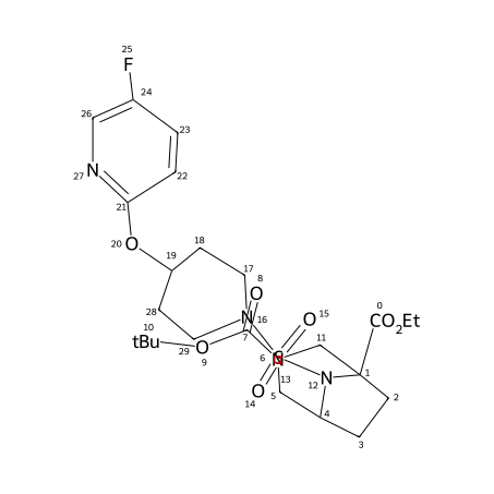 CCOC(=O)C12CCC(CN(C(=O)OC(C)(C)C)C1)N2S(=O)(=O)N1CCC(Oc2ccc(F)cn2)CC1